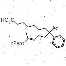 CCCCCC(C)=CCCC(CCCCCCC(=O)O)(C(C)=O)c1ccccc1